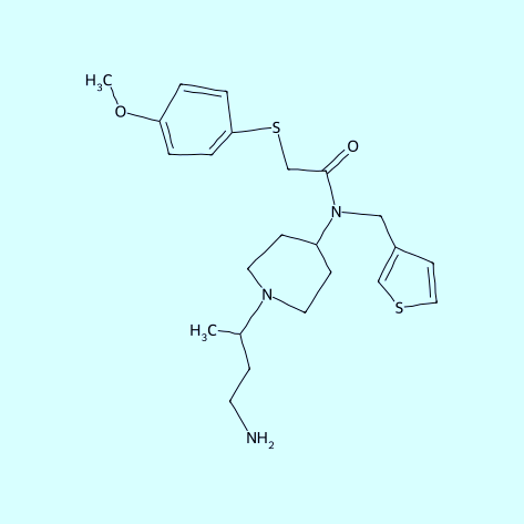 COc1ccc(SCC(=O)N(Cc2ccsc2)C2CCN(C(C)CCN)CC2)cc1